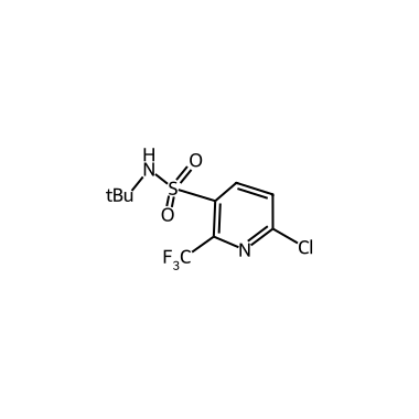 CC(C)(C)NS(=O)(=O)c1ccc(Cl)nc1C(F)(F)F